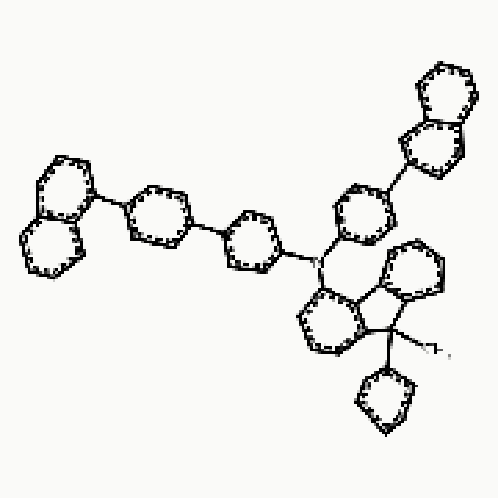 CC1(c2ccccc2)c2ccccc2-c2c(N(c3ccc(-c4ccc(-c5cccc6ccccc56)cc4)cc3)c3ccc(-c4ccc5ccccc5c4)cc3)cccc21